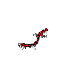 Cc1ncsc1-c1ccc([C@H](C)NC(=O)[C@@H]2C[C@@H](O)CN2C(=O)[C@@H](NC(=O)CCCCCCCN2CCN(C(=O)CCCCCC3(CN)CCN(c4cnc(Sc5cccc(Cl)c5Cl)c(N)n4)CC3)CC2)C(C)(C)C)cc1